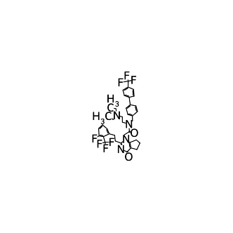 CCN(CC)CCN(Cc1ccc(-c2ccc(C(F)(F)F)cc2)cc1)C(=O)Cn1c(CCc2cccc(F)c2C(F)(F)F)nc(=O)c2c1CCC2